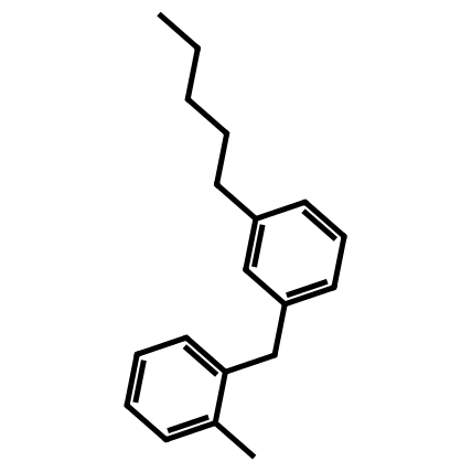 CCCCCc1cccc(Cc2ccccc2C)c1